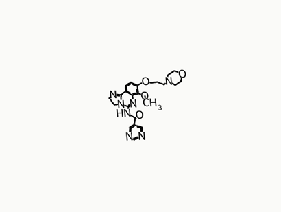 COc1c(OCCCN2CCOCC2)ccc2c1N=C(NC(=O)c1cncnc1)N1CCN=C21